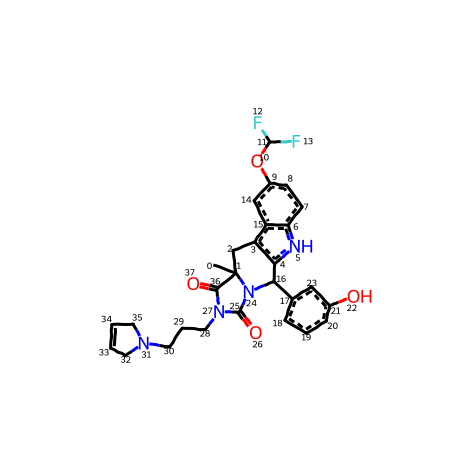 CC12Cc3c([nH]c4ccc(OC(F)F)cc34)C(c3cccc(O)c3)N1C(=O)N(CCCN1CC=CC1)C2=O